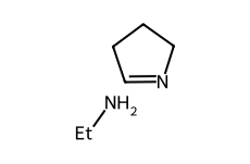 C1=NCCC1.CCN